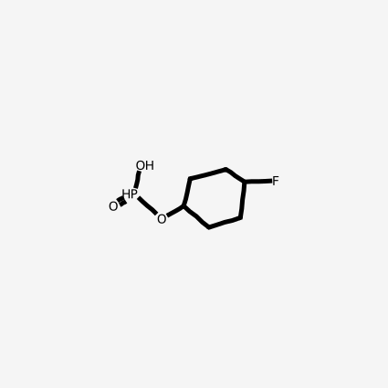 O=[PH](O)OC1CCC(F)CC1